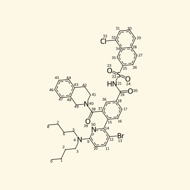 CCCCN(CCCC)c1ccc(Br)c(-c2ccc(C(=O)NS(=O)(=O)c3ccc4cccc(Cl)c4c3)cc2C(=O)N2CCc3ccccc3C2)n1